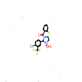 O=C(c1ccccc1F)N1CCN(O)C1c1ccc(Cl)c(C(F)(F)F)c1